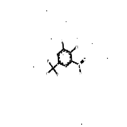 O=[N+]([O-])c1cc(C(F)(F)F)cc(Cl)c1Cl